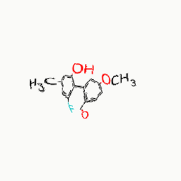 COc1ccc(C=O)c(-c2c(O)cc(C)cc2F)c1